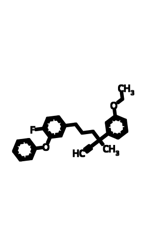 C#CC(C)(CCCc1ccc(F)c(Oc2ccccc2)c1)c1cccc(OCC)c1